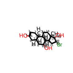 C[C@]12CC=C(O)C[C@@H]1C[C@H](O)[C@@H]1[C@@H]2CC[C@]2(C)[C@@H](O)[C@H](Br)C[C@@H]12